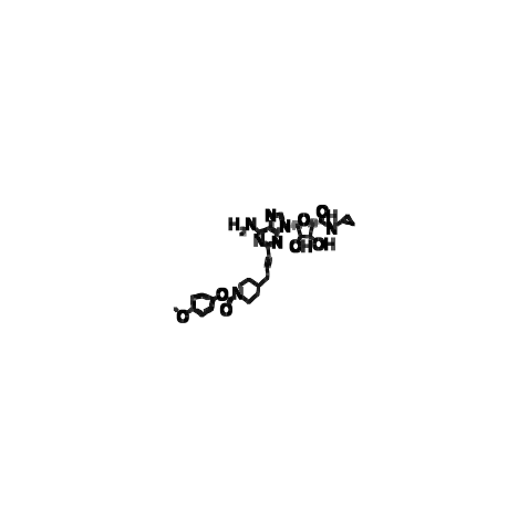 COc1ccc(OC(=O)N2CCC(CC#Cc3nc(N)c4ncn([C@@H]5O[C@H](C(=O)NC6CC6)C(O)C5O)c4n3)CC2)cc1